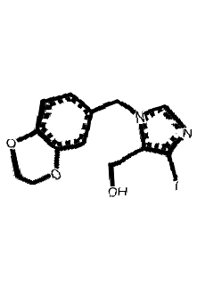 OCc1c(I)ncn1Cc1ccc2c(c1)OCO2